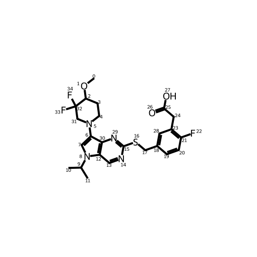 COC1CCN(c2cn(C(C)C)c3cnc(SCc4ccc(F)c(CC(=O)O)c4)nc23)CC1(F)F